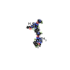 C=CC(=O)N1CC[C@@H](N(C)c2nc(OC[C@@]34CCC(c5ccc(Cl)c6c(-c7ncc8c(N(C)[C@@H]9CCN(C(=O)C=C%10CCC%10)C9)nc(OC[C@@]9%10CCCN9C[C@H](F)C%10)nc8c7F)cccc56)N3C[C@H](F)C4)nc3c(F)c(-c4cccc5cc(F)c(F)cc45)ncc23)C1